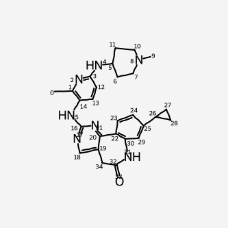 Cc1nc(NC2CCN(C)CC2)ccc1Nc1ncc2c(n1)-c1ccc(C3CC3)cc1NC(=O)C2